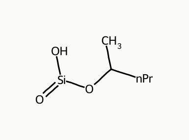 CCCC(C)O[Si](=O)O